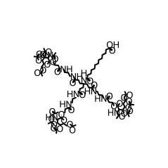 CC(=O)NC1C(OC(C)=O)[C@@H](OC(C)=O)C(COC(C)=O)O[C@H]1OCCC(=O)NCCCNC(=O)CCC(CCC(=O)NCCCNC(=O)CCO[C@@H]1OC(COC(C)=O)[C@H](OC(C)=O)C(OC(C)=O)C1NC(C)=O)(CCC(=O)NCCCNC(=O)CCO[C@@H]1OC(COC(C)=O)[C@H](OC(C)=O)C(OC(C)=O)C1NC(C)=O)NC(=O)CCCCCCCCCCCC(=O)O